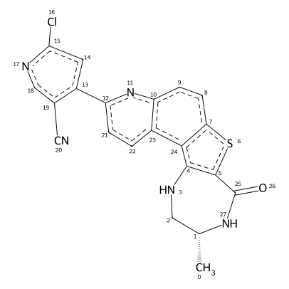 C[C@@H]1CNc2c(sc3ccc4nc(-c5cc(Cl)ncc5C#N)ccc4c23)C(=O)N1